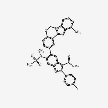 CNC(=O)c1c(-c2ccc(F)cc2)oc2cc(N(C)S(C)(=O)=O)c(-c3ccc4c(n3)-c3cc5c(N)nccc5n3CO4)cc12